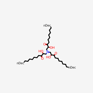 CCCCCCCCCCCCCCCCCC(=O)C(O)CN(CC(O)C(=O)CCCCCCCCCCCCCCCCC)CC(O)C(=O)CCCCCCCCCCCCCCCCC